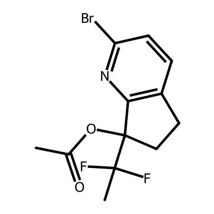 CC(=O)OC1(C(C)(F)F)CCc2ccc(Br)nc21